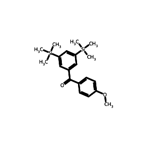 COc1ccc(C(=O)c2cc([Si](C)(C)C)cc([Si](C)(C)C)c2)cc1